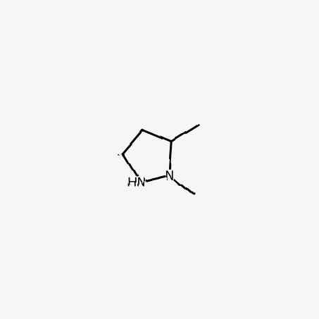 CC1C[CH]NN1C